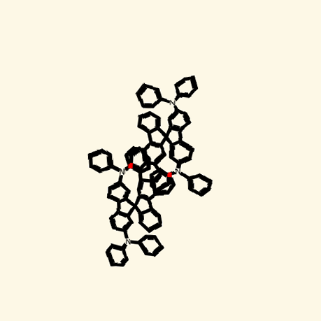 c1ccc(N(c2ccccc2)c2ccc3c(c2)C2(c4cc(N(c5ccccc5)c5ccccc5)ccc4-3)c3ccccc3-c3c2cc2c4cccc5c6c(cc(c7cccc3c72)c54)C2(c3cc(N(c4ccccc4)c4ccccc4)ccc3-c3ccc(N(c4ccccc4)c4ccccc4)cc32)c2ccccc2-6)cc1